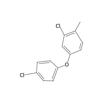 Cc1ccc(Oc2ccc(Cl)cc2)cc1Cl